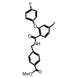 COC(=O)c1ccc(CNC(=O)c2ccc(F)cc2Oc2ccc(F)cc2)cc1